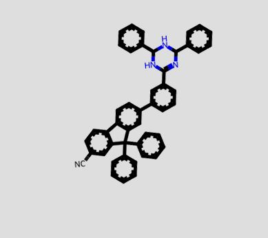 N#Cc1ccc2c(c1)C(c1ccccc1)(c1ccccc1)c1cc(-c3cccc(C4=NC(c5ccccc5)NC(c5ccccc5)N4)c3)ccc1-2